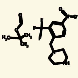 CC(C)(C)OC=O.O=[N+]([O-])c1ccc(CN2CCNCC2)c(C(F)(F)F)c1